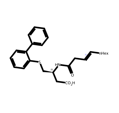 CCCCCC/C=C/CC(=O)N[C@H](CSc1ccccc1-c1ccccc1)CC(=O)O